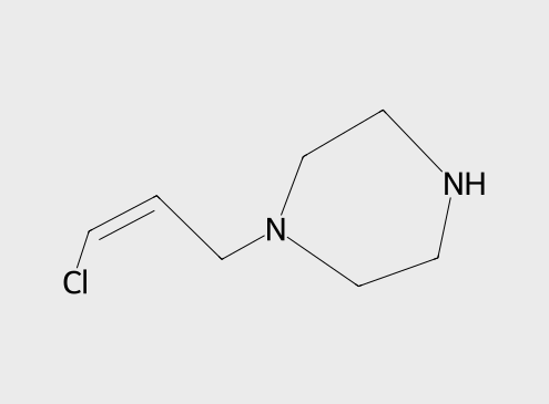 Cl/C=C\CN1CCNCC1